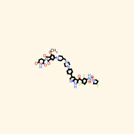 COc1cc(N2CCC(CN3CCN(c4ccc(-c5cnc6[nH]cc(C(=O)c7c(F)ccc(NS(=O)(=O)N8CC[C@@H](F)C8)c7F)c6c5)cc4)CC3)CC2)cc2c1C(=O)N(C1CCC(=O)NC1=O)C2=O